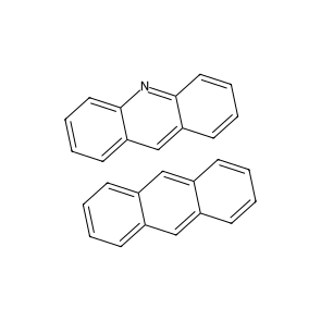 c1ccc2cc3ccccc3cc2c1.c1ccc2nc3ccccc3cc2c1